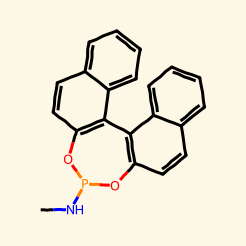 CNp1oc2ccc3ccccc3c2c2c(ccc3ccccc32)o1